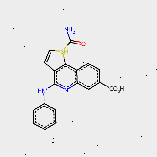 NC(=O)[SH]1C=Cc2c(Nc3ccccc3)nc3cc(C(=O)O)ccc3c21